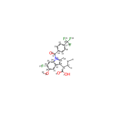 CCC(C)C(C(=O)O)c1c(C)n(C(=O)c2ccc(C(F)(F)F)cc2)c2cc(F)c(OC)cc12